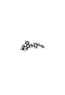 CC(C)(C)OC(=O)c1c(N)cc(OCc2ccc(OCCBr)cc2)c2ccccc12